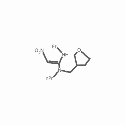 CCCN(CC1CCOC1)C(=C[N+](=O)[O-])NCC